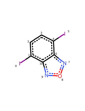 Ic1ccc(I)c2nonc12